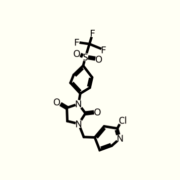 O=C1CN(Cc2ccnc(Cl)c2)C(=O)N1c1ccc(S(=O)(=O)C(F)(F)F)cc1